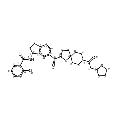 O=C(N[C@@H]1CCc2ccc(C(=O)N3CCC4(CCN(C(=O)CN5CCCC5)CC4)C3)cc21)c1ccccc1Cl